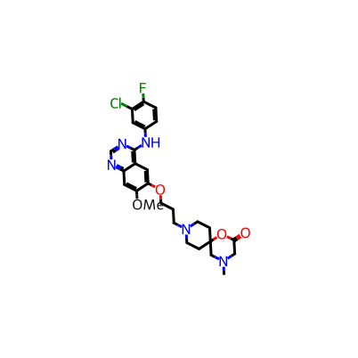 COc1cc2ncnc(Nc3ccc(F)c(Cl)c3)c2cc1OCCCN1CCC2(CC1)CN(C)CC(=O)O2